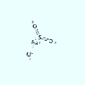 O=S=O.[Cl-].[Na+]